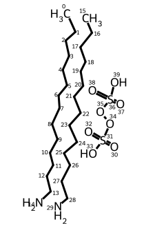 CCCCCCCCCCCCCCN.CCCCCCCCCCCCCCN.O=S(=O)(O)OOS(=O)(=O)O